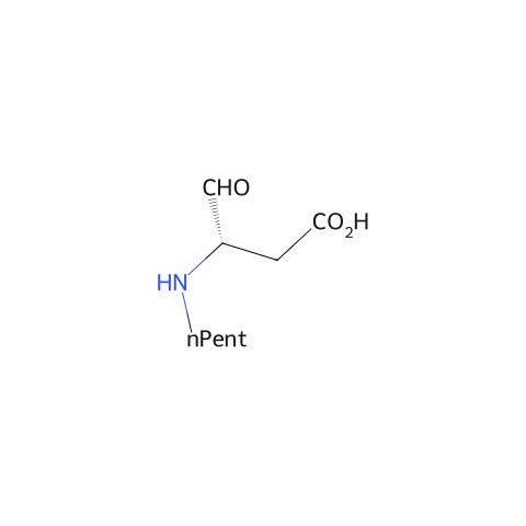 CCCCCN[C@H](C=O)CC(=O)O